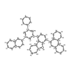 c1ccc(-c2nc(-c3ccc4ccccc4c3)nc(-c3ccc(-c4cc5ccccc5c5ccccc45)c4oc5cnccc5c34)n2)cc1